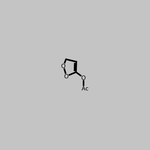 CC(=O)OC1=CCOO1